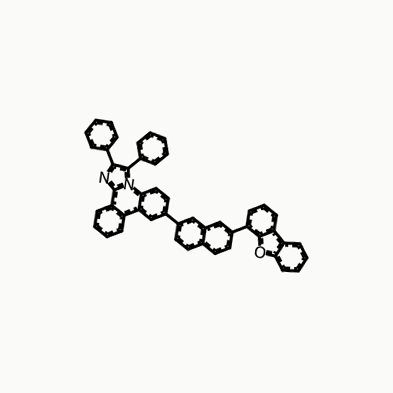 c1ccc(-c2nc3c4ccccc4c4cc(-c5ccc6ccc(-c7cccc8c7oc7ccccc78)cc6c5)ccc4n3c2-c2ccccc2)cc1